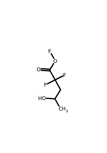 CC(O)CC(F)(F)C(=O)OF